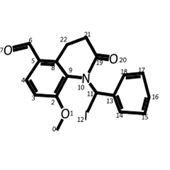 COc1ccc(C=O)c2c1N(C(I)c1ccccc1)C(=O)CC2